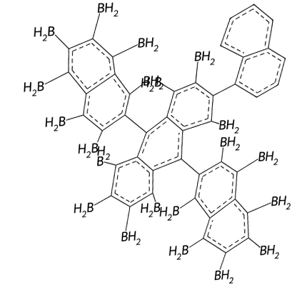 Bc1c(B)c(B)c2c(B)c(-c3c4c(B)c(B)c(B)c(B)c4c(-c4c(B)c(B)c5c(B)c(B)c(B)c(B)c5c4B)c4c(B)c(-c5cccc6ccccc56)c(B)c(B)c34)c(B)c(B)c2c1B